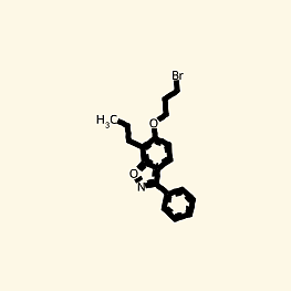 CCCc1c(OCCCBr)ccc2c(-c3ccccc3)noc12